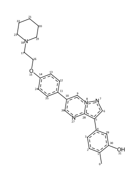 Cc1ccc(-c2cnn3cc(-c4ccc(OCCN5CCCCC5)cc4)cnc23)cc1O